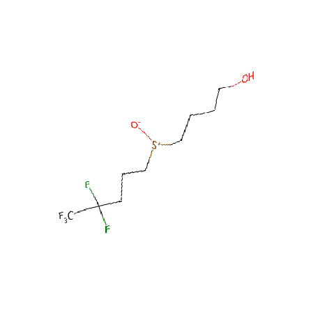 [O-][S+](CCCCO)CCCC(F)(F)C(F)(F)F